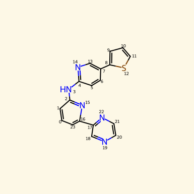 c1cc(Nc2ccc(-c3cccs3)cn2)nc(-c2cnccn2)c1